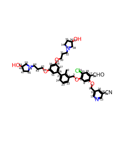 Cc1c(COc2cc(OCc3cncc(C#N)c3)c(C=O)cc2Cl)cccc1-c1cc(OCCCN2CCC(O)C2)cc(OCCCN2CCC(O)C2)c1